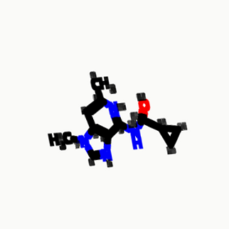 Cc1cc2c(ncn2C)c(NC(=O)C2CC2)n1